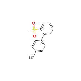 CS(=O)(=O)c1ccccc1-c1ccc(C#N)cc1